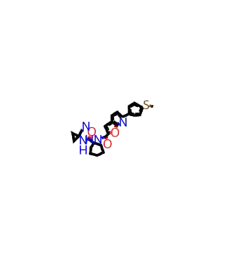 CSc1ccc(-c2ccc3cc(C(=O)NC4(C(=O)NC5(C#N)CC5)CCCCC4)oc3n2)cc1